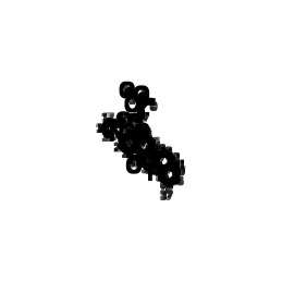 Cc1oc(=O)oc1COC(=O)[C@]1(C)[C@@H](N2CCCC2=O)CC[C@@]2(C)[C@H]1CC[C@]1(C)[C@@H]2C(=O)C=C2[C@@H]3C[C@@H](C)CC[C@@]3(C)CC[C@]21C